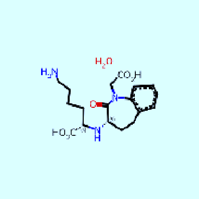 NCCCC[C@H](N[C@H]1CCc2ccccc2N(CC(=O)O)C1=O)C(=O)O.O